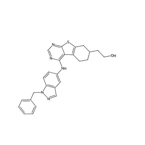 OCCC1CCc2c(sc3ncnc(Nc4ccc5c(cnn5Cc5ccccc5)c4)c23)C1